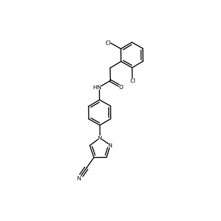 N#Cc1cnn(-c2ccc(NC(=O)Cc3c(Cl)cccc3Cl)cc2)c1